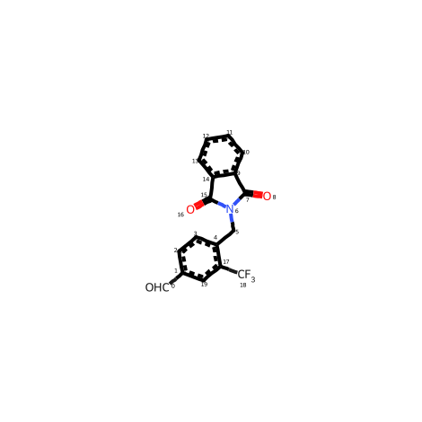 O=Cc1ccc(CN2C(=O)c3ccccc3C2=O)c(C(F)(F)F)c1